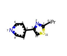 CC(C)c1nc(-c2ccncc2)cs1